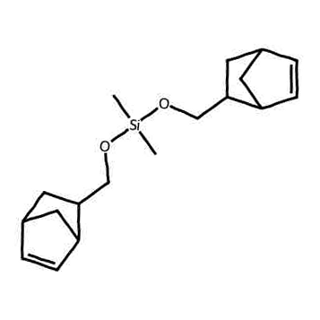 C[Si](C)(OCC1CC2C=CC1C2)OCC1CC2C=CC1C2